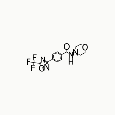 O=C(NN1CCOCC1)c1ccc(-c2noc(C(F)(F)F)n2)cc1